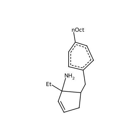 CCCCCCCCc1ccc(CC2CC=CC2(N)CC)cc1